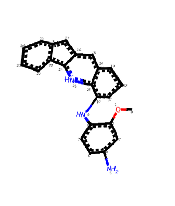 COc1cc(N)ccc1Nc1cccc2cc3cc4ccccc4c-3[nH]c12